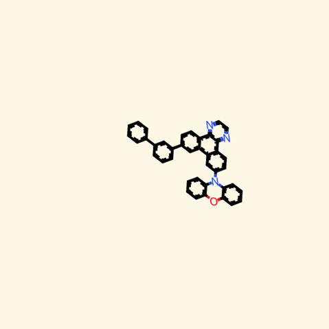 c1ccc(-c2cccc(-c3ccc4c(c3)c3cc(N5c6ccccc6Oc6ccccc65)ccc3c3nccnc43)c2)cc1